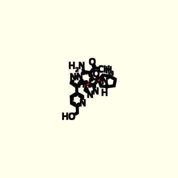 CC(=O)c1c([C@H]2C[C@H]3CC[C@@H](C2)N3C(=O)c2nnc[nH]2)nc2c(-c3ccc(CO)nc3)cnn2c1N